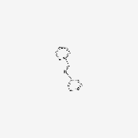 C(=Nc1cccnc1)c1ccccc1